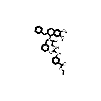 CCOC(=O)c1cccc(NC(=O)NCC(=O)N(Cc2ccccc2)C2c3cc(OC)c(OC)cc3CCC2Cc2ccccc2)c1